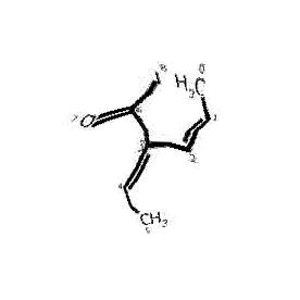 C/C=C\C(=C/C)C(=O)I